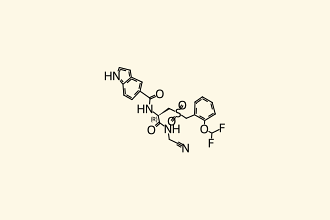 N#CCNC(=O)[C@H](CS(=O)(=O)Cc1ccccc1OC(F)F)NC(=O)c1ccc2[nH]ccc2c1